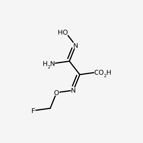 NC(=NO)C(=NOCF)C(=O)O